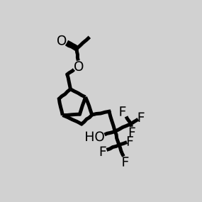 CC(=O)OCC1CC2CC(CC(O)(C(F)(F)F)C(F)(F)F)C1C2